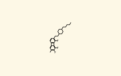 CCCCCC1CCC(CCc2ccc3c(c2F)-c2c-3cc(C)c(F)c2F)CC1